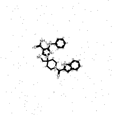 N#CCC1(n2cc(C(N)=O)c(Nc3ccccc3)n2)CCN(C(=O)c2cc3ccccc3[nH]2)CC1